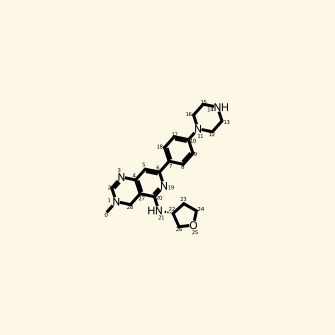 CN1C=Nc2cc(-c3ccc(N4CCNCC4)cc3)nc(N[C@@H]3CCOC3)c2C1